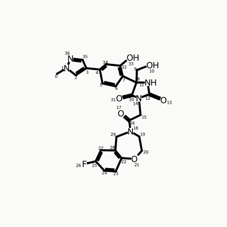 Cn1cc(-c2ccc(C3(CO)NC(=O)N(CC(=O)N4CCOc5ccc(F)cc5C4)C3=O)c(O)c2)cn1